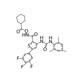 Cc1cc(C)c(NC(=O)Nc2cc(-c3cc(F)c(F)c(F)c3)sc2C(=O)NOC(=O)C2CCCCC2)c(C)c1